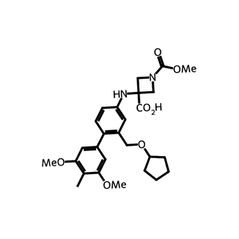 COC(=O)N1CC(Nc2ccc(-c3cc(OC)c(C)c(OC)c3)c(COC3CCCC3)c2)(C(=O)O)C1